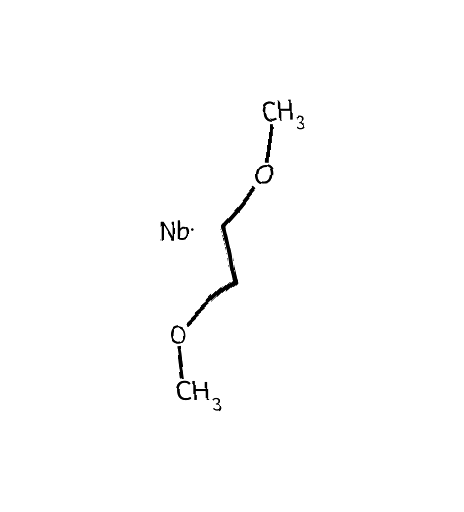 COCCOC.[Nb]